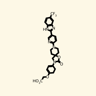 O=C(O)COC1=CC=C(N2CC3(CCN(c4ccc(-c5nc6cc(C(F)(F)F)ccc6[nH]5)cn4)CC3)OC2=O)CC1